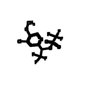 COc1cnc(C(OS(=O)(=O)C(F)(F)F)C(F)(F)F)cc1Cl